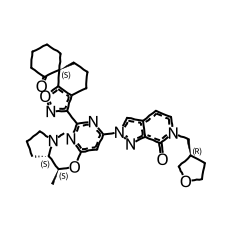 C[C@H](Oc1cc(-n2cc3ccn(C[C@H]4CCOC4)c(=O)c3n2)nc(-c2noc3c2CCC[C@@]32CCCCC2=O)n1)[C@@H]1CCCN1C